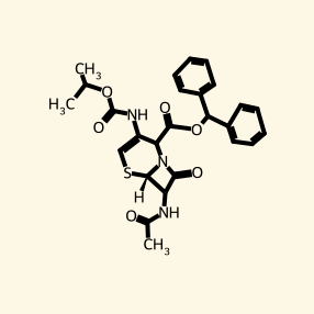 CC(=O)NC1C(=O)N2C(C(=O)OC(c3ccccc3)c3ccccc3)C(NC(=O)OC(C)C)=CS[C@@H]12